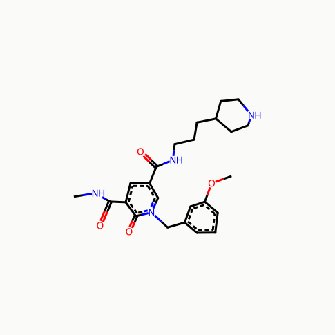 CNC(=O)c1cc(C(=O)NCCCC2CCNCC2)cn(Cc2cccc(OC)c2)c1=O